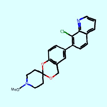 CON1CCC2(CC1)OCc1cc(-c3ccc4cccnc4c3Cl)ccc1O2